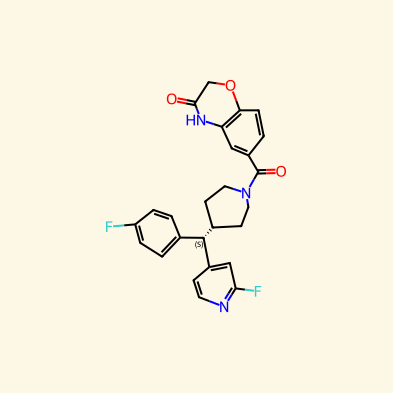 O=C1COc2ccc(C(=O)N3CCC([C@@H](c4ccc(F)cc4)c4ccnc(F)c4)CC3)cc2N1